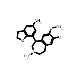 COc1cc2c(cc1Cl)CCN(C)CC2c1cc(N)cc2c1OCC2